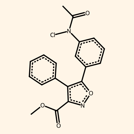 COC(=O)c1noc(-c2cccc(N(Cl)C(C)=O)c2)c1-c1ccccc1